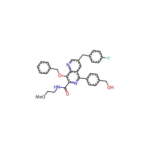 COCCNC(=O)c1nc(-c2ccc(CO)cc2)c2cc(Cc3ccc(F)cc3)cnc2c1OCc1ccccc1